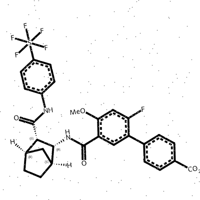 COc1cc(F)c(-c2ccc(C(=O)O)cc2)cc1C(=O)N[C@@H]1[C@H]2CC[C@H](C2)[C@@H]1C(=O)Nc1ccc(S(F)(F)(F)(F)F)cc1